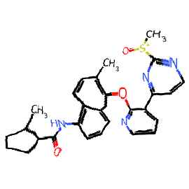 Cc1ccc2c(NC(=O)C3CCCC3C)cccc2c1Oc1ncccc1-c1ccnc([S+](C)[O-])n1